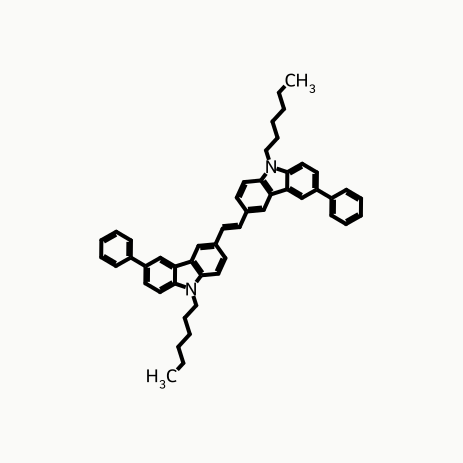 CCCCCCn1c2ccc(/C=C/c3ccc4c(c3)c3cc(-c5ccccc5)ccc3n4CCCCCC)cc2c2cc(-c3ccccc3)ccc21